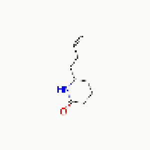 C=CCCC1CCCC(=O)N1